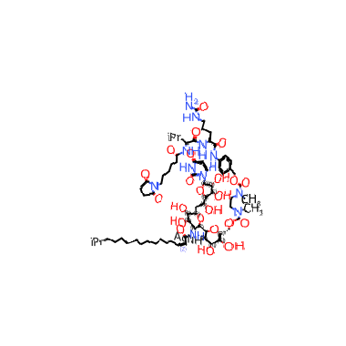 CC(=O)N[C@H]1C([C@@H]2O[C@H](C[C@@H](O)[C@H]3O[C@@H](n4ccc(=O)[nH]c4=O)[C@H](O)[C@@H]3O)[C@H](O)[C@H](O)[C@H]2NC(=O)/C=C\CCCCCCCCCCCC(C)C)O[C@H](COC(=O)N(C)CCN(C)C(=O)OCc2ccc(NC(=O)C(CCCNC(N)=O)NC(=O)C(NC(=O)CCCCCN3C(=O)CCC3=O)C(C)C)cc2)[C@@H](O)[C@@H]1O